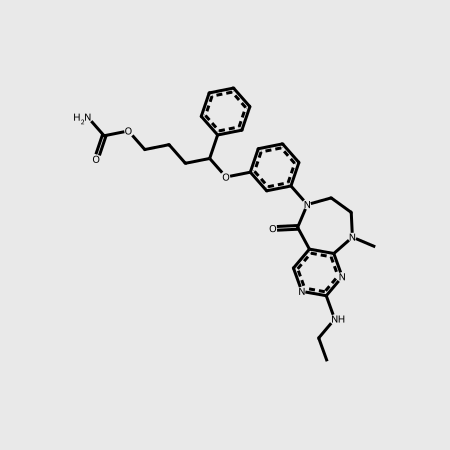 CCNc1ncc2c(n1)N(C)CCN(c1cccc(OC(CCCOC(N)=O)c3ccccc3)c1)C2=O